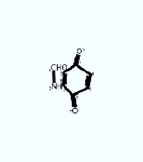 NC=O.O=C1C=CC(=O)C=C1